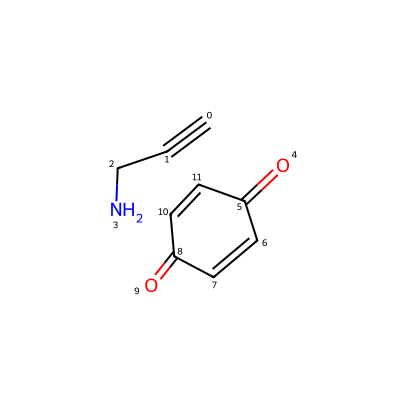 C#CCN.O=C1C=CC(=O)C=C1